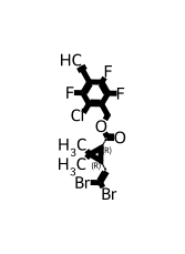 C#Cc1c(F)c(F)c(COC(=O)[C@@H]2[C@H](C=C(Br)Br)C2(C)C)c(Cl)c1F